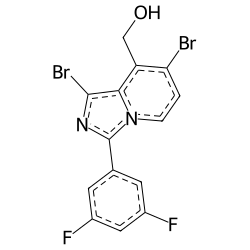 OCc1c(Br)ccn2c(-c3cc(F)cc(F)c3)nc(Br)c12